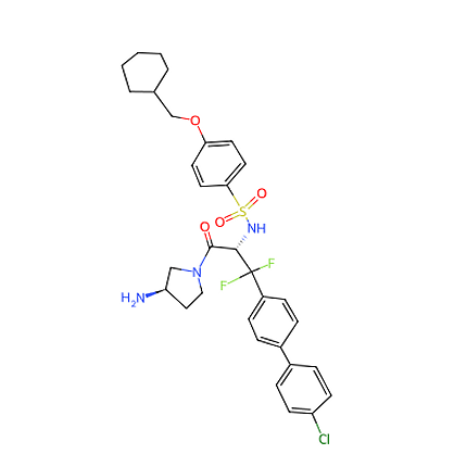 N[C@@H]1CCN(C(=O)[C@H](NS(=O)(=O)c2ccc(OCC3CCCCC3)cc2)C(F)(F)c2ccc(-c3ccc(Cl)cc3)cc2)C1